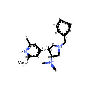 C=[N+](C)[C@@H]1CN(Cc2ccccc2)C[C@H]1c1cc(C)nc(OC)c1